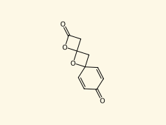 O=C1C=CC2(C=C1)CC1(CC(=O)O1)O2